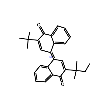 CCC(C)(C)C1=C/C(=C2/C=C(C(C)(C)C)C(=O)c3ccccc32)c2ccccc2C1=O